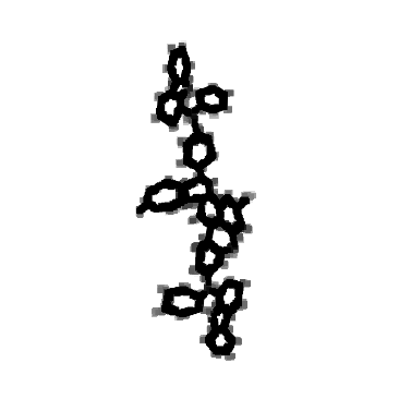 Cc1ccc2c(-c3ccc(N(c4ccccc4)c4cccc5c4oc4ccccc45)cc3)cc3c4cc(C)cc5c4c(cc3c2c1)-c1ccc(N(c2ccccc2)c2cccc3c2oc2ccccc23)cc1O5